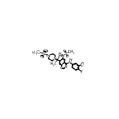 CC(C)(c1cc2ncnc(Nc3ccc(F)c(Cl)c3)c2cc1NS(C)(=O)=O)N1CCN(S(C)(=O)=O)CC1